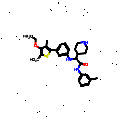 Cc1cccc(NC(=O)C(Nc2cccc(-c3sc(C(=O)O)c(OCC(=O)O)c3C)c2)C2CCNCC2)c1